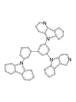 c1cc(-c2cc(-n3c4ccccc4c4cnccc43)cc(-n3c4ccccc4c4ncccc43)c2)cc(-n2c3ccccc3c3ccccc32)c1